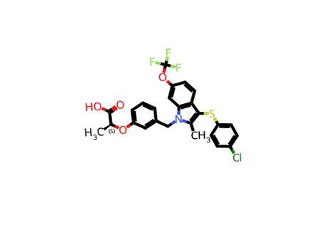 Cc1c(Sc2ccc(Cl)cc2)c2ccc(OC(F)(F)F)cc2n1Cc1cccc(O[C@@H](C)C(=O)O)c1